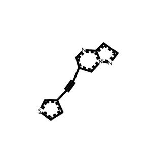 C(#Cc1cnc2ccnn2c1)c1ccsc1